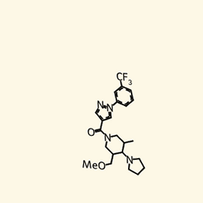 COCC1CN(C(=O)c2cnn(-c3cccc(C(F)(F)F)c3)c2)CC(C)C1N1CCCC1